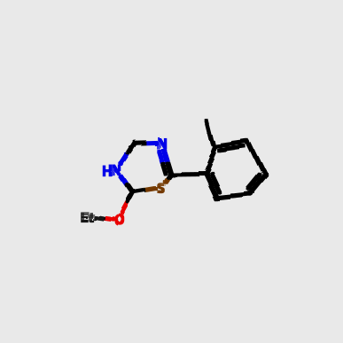 CCOC1NCN=C(c2ccccc2C)S1